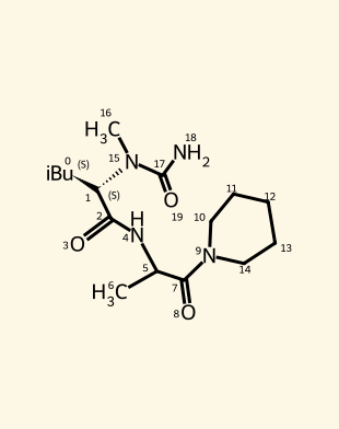 CC[C@H](C)[C@@H](C(=O)NC(C)C(=O)N1CCCCC1)N(C)C(N)=O